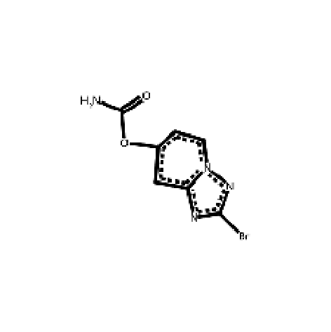 NC(=O)Oc1ccn2nc(Br)nc2c1